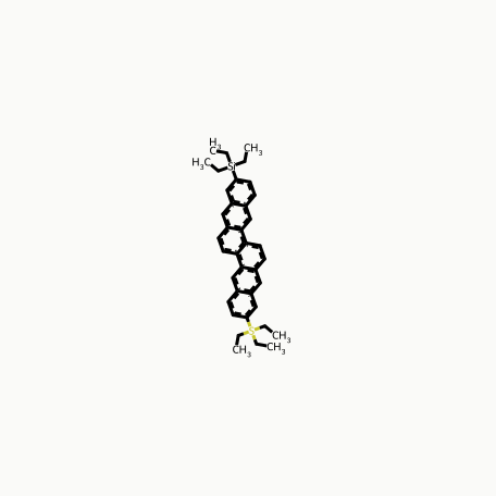 CC[Si](CC)(CC)c1ccc2cc3c(ccc4c5cc6ccc(S(CC)(CC)CC)cc6cc5ccc34)cc2c1